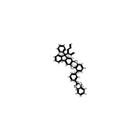 C=C/C=C(\C=C)C1(c2ccccc2)c2ccccc2-c2cc3c(cc21)Oc1cccc(-c2cccc(-c4nc5ccccc5o4)c2)c1O3